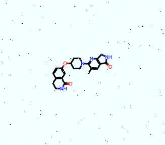 Cc1cc2c(nc1N1CCC(Oc3ccc4c(c3)C(=O)NCC4)CC1)CNC2=O